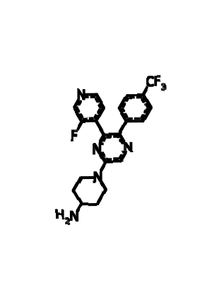 NC1CCN(c2cnc(-c3ccc(C(F)(F)F)cc3)c(-c3ccncc3F)n2)CC1